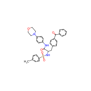 Cc1ccc(S(=O)(=O)NC(Cc2ccc(C(=O)c3ccccc3)cc2)C(=O)Nc2ccc(N3CCOCC3)cc2)cc1